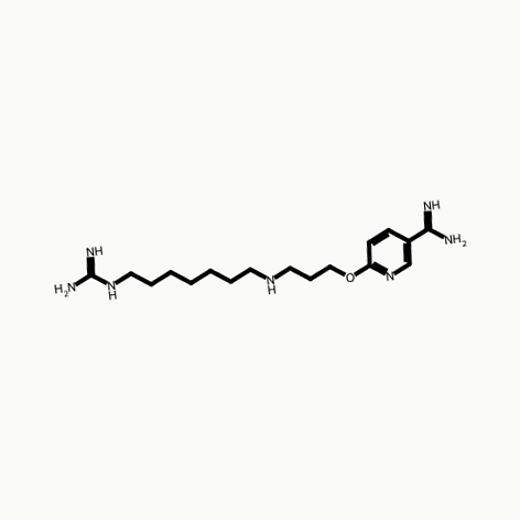 N=C(N)NCCCCCCCNCCCOc1ccc(C(=N)N)cn1